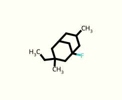 CCC1(C)CC2CC(C)CC(F)(C2)C1